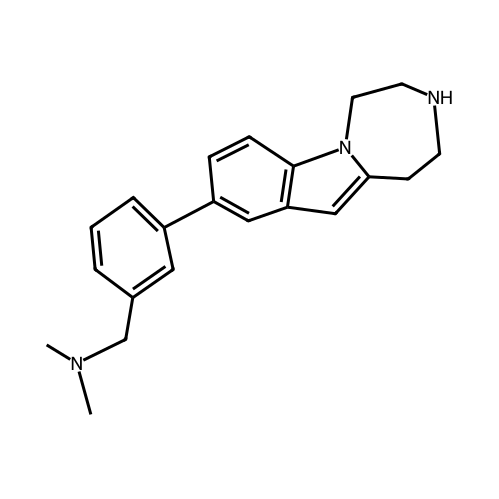 CN(C)Cc1cccc(-c2ccc3c(c2)cc2n3CCNCC2)c1